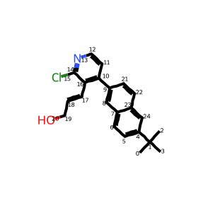 CC(C)(C)c1ccc2cc(-c3ccnc(Cl)c3C=CCO)ccc2c1